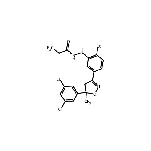 CCc1ccc(C2=NOC(c3cc(Cl)cc(Cl)c3)(C(F)(F)F)C2)cc1NNC(=O)CC(F)(F)F